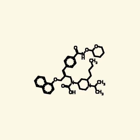 CCCCC1CC(N(CC(=Cc2ccc(C(=O)NOC3CCCCO3)cc2)COc2cccc3ccccc23)C(=O)O)CCN1C(C)C